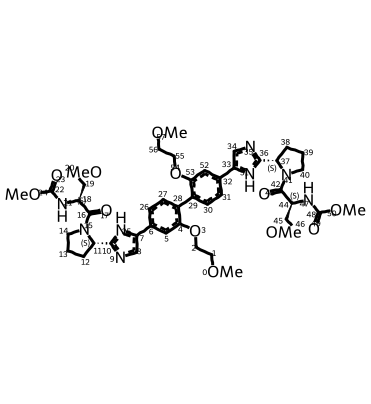 COCCOc1cc(-c2cnc([C@@H]3CCCN3C(=O)[C@H](COC)NC(=O)OC)[nH]2)ccc1-c1ccc(-c2cnc([C@@H]3CCCN3C(=O)[C@H](COC)NC(=O)OC)[nH]2)cc1OCCOC